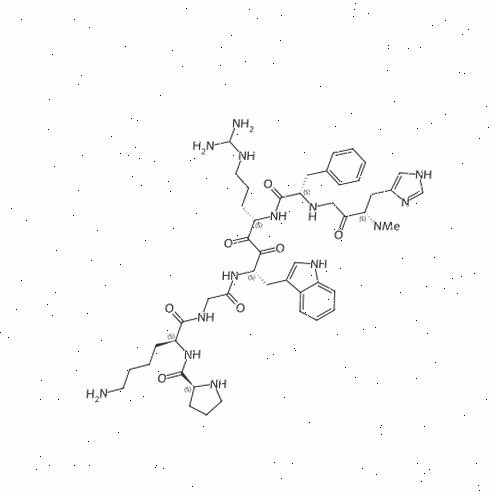 CN[C@@H](Cc1c[nH]cn1)C(=O)CN[C@@H](Cc1ccccc1)C(=O)N[C@@H](CCCNC(N)N)C(=O)C(=O)[C@H](Cc1c[nH]c2ccccc12)NC(=O)CNC(=O)[C@H](CCCCN)NC(=O)[C@@H]1CCCN1